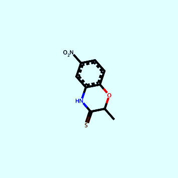 CC1Oc2ccc([N+](=O)[O-])cc2NC1=S